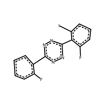 Fc1ccccc1-c1nnc(-c2c(F)cccc2I)nn1